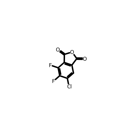 O=C1OC(=O)c2c1cc(Cl)c(F)c2F